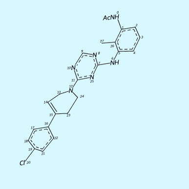 CC(=O)Nc1cccc(Nc2ncnc(N3CC=C(c4ccc(Cl)cc4)CC3)n2)c1C